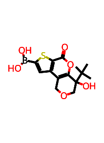 CC(C)(C)C1(O)COCc2c1oc(=O)c1sc(B(O)O)cc21